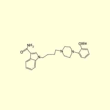 COc1ccccc1N1CCN(CCCCn2cc(C(N)=O)c3ccccc32)CC1